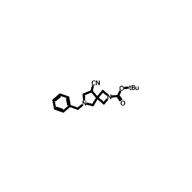 CC(C)(C)OC(=O)N1CC2(CN(Cc3ccccc3)CC2C#N)C1